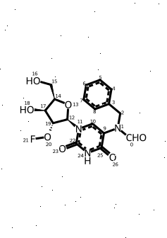 O=CN(Cc1ccccc1)c1cn([C@@H]2O[C@H](CO)[C@H](O)[C@H]2OF)c(=O)[nH]c1=O